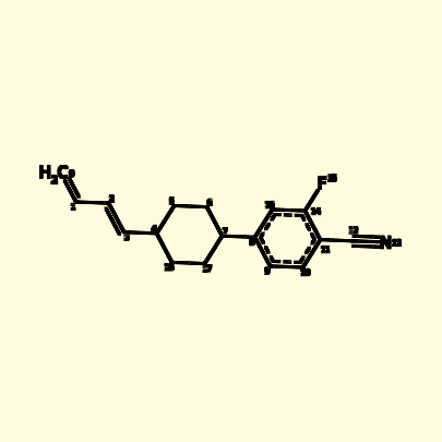 C=CC=CC1CCC(c2ccc(C#N)c(F)c2)CC1